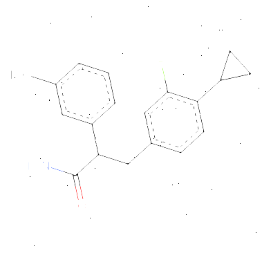 NC(=O)C(Cc1ccc(C2CC2)c(F)c1)c1cccc(C(F)(F)F)c1